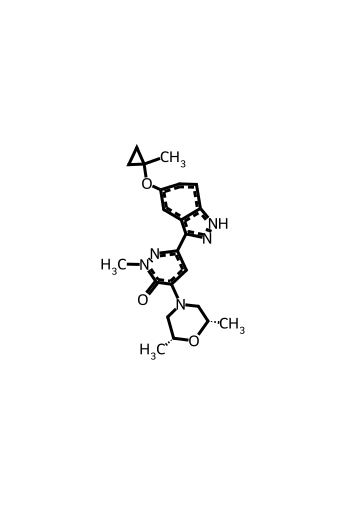 C[C@@H]1CN(c2cc(-c3n[nH]c4ccc(OC5(C)CC5)cc34)nn(C)c2=O)C[C@H](C)O1